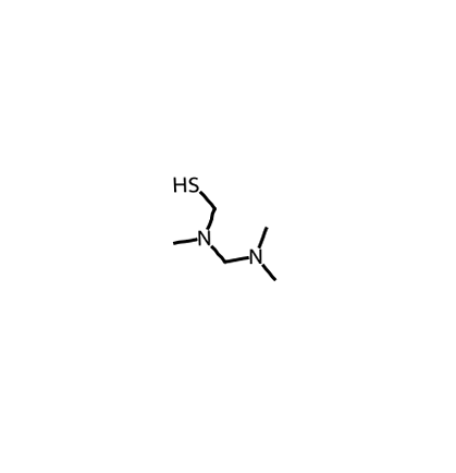 CN(C)CN(C)CS